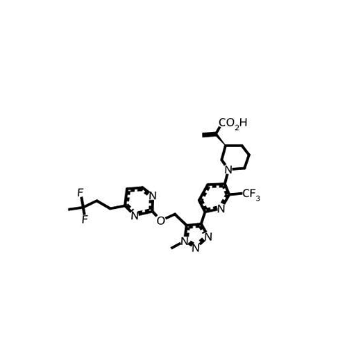 C=C(C(=O)O)[C@H]1CCCN(c2ccc(-c3nnn(C)c3COc3nccc(CCC(C)(F)F)n3)nc2C(F)(F)F)C1